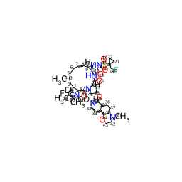 CC[C@@H]1C[C@H](C)CC/C=C\[C@@H]2C[C@@]2(C(=O)NS(=O)(=O)C2(CF)CC2)NC(=O)[C@@H]2C[C@@H](Oc3nccc4c5c(ccc34)N(C)CCO5)CN2C(=O)[C@H]1N(C(=O)O)C(C)(C)C(F)(F)F